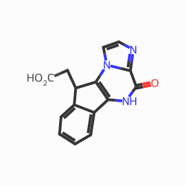 O=C(O)CC1c2ccccc2-c2[nH]c(=O)c3nccn3c21